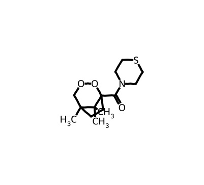 CC12CCC(C(=O)N3CCSCC3)(OOC1)C2(C)C